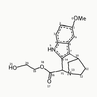 COc1ccc2[nH]c3c(c2c1)C1CCN(C1)C3C(=O)OCCO